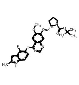 COc1cc2c(Oc3ccc4[nH]c(C)cc4c3F)ncnc2cc1OC[C@@H]1CCCN1C(=O)OC(C)(C)C